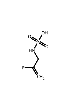 C=C(F)CNS(=O)(=O)O